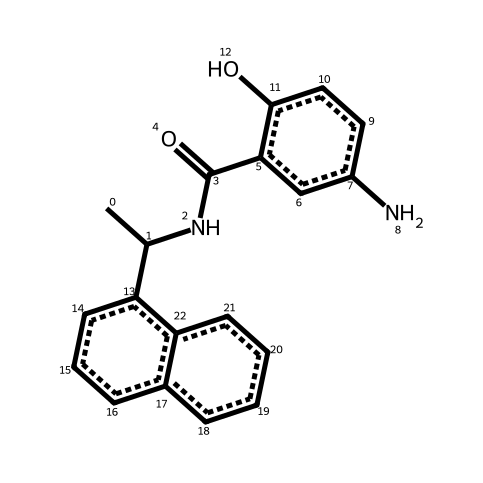 CC(NC(=O)c1cc(N)ccc1O)c1cccc2ccccc12